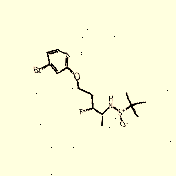 C[C@H](N[S@+]([O-])C(C)(C)C)C(F)CCOc1cc(Br)ccn1